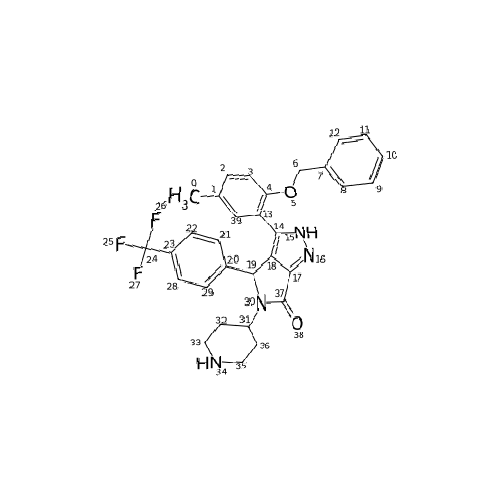 Cc1ccc(OCc2ccccc2)c(-c2[nH]nc3c2C(c2ccc(C(F)(F)F)cc2)N(C2CCNCC2)C3=O)c1